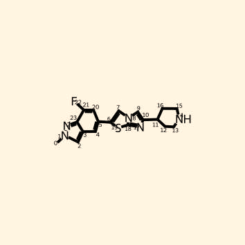 Cn1cc2cc(-c3cn4cc(C5CCNCC5)nc4s3)cc(F)c2n1